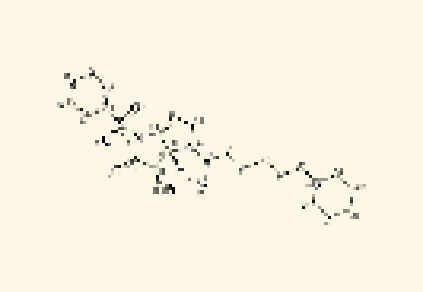 CCC[C@H]1C(=O)N(S(=O)(=O)c2ccccc2)C2=CCN(C(=O)CCCCCN3CCCCC3)[C@@H]21